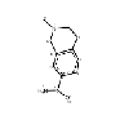 CN1CCc2ccc([S+](N)[O-])cc2C1